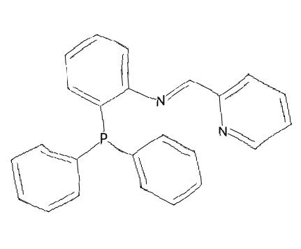 C(=N\c1ccccc1P(c1ccccc1)c1ccccc1)/c1ccccn1